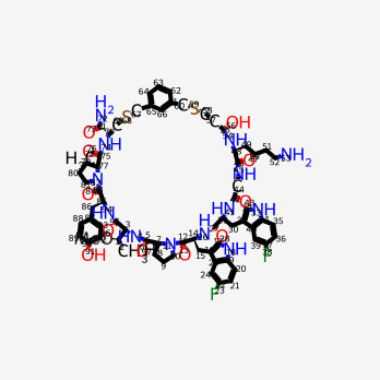 CO[C@@H](C)[C@@H]1NC(=O)[C@@H]2CCCN2C(=O)[C@H](Cc2c[nH]c3ccc(F)cc23)NC(=O)C(Cc2c[nH]c3ccc(F)cc23)NC(=O)CNC(=O)[C@H](CCCCN)NC(O)CCSCc2cccc(c2)CSC[C@@H](C(N)=O)NC(=O)[C@]2(C)CCCN2C(=O)[C@H](Cc2ccc(O)cc2)NC1=O